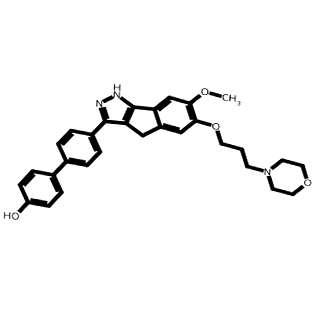 COc1cc2c(cc1OCCCN1CCOCC1)Cc1c(-c3ccc(-c4ccc(O)cc4)cc3)n[nH]c1-2